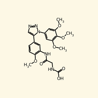 COc1ccc(-c2cnnn2-c2cc(OC)c(OC)c(OC)c2)cc1NC(=O)CNC(=O)O